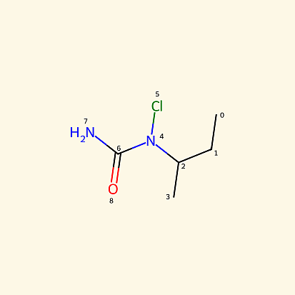 CCC(C)N(Cl)C(N)=O